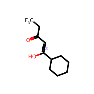 O=C(/C=C(\O)C1CCCCC1)CC(F)(F)F